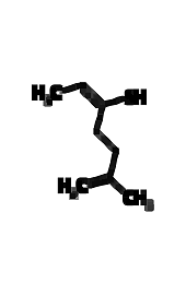 C=C(C)CC/C(S)=C\C